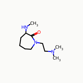 CNC1CCCCN(CCN(C)C)C1=O